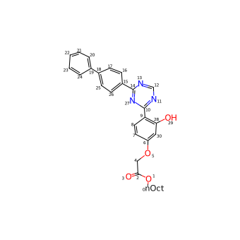 CCCCCCCCOC(=O)COc1ccc(-c2ncnc(-c3ccc(-c4ccccc4)cc3)n2)c(O)c1